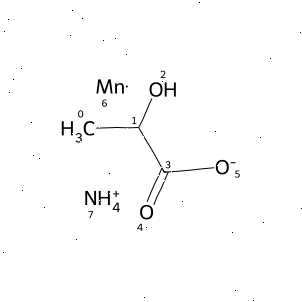 CC(O)C(=O)[O-].[Mn].[NH4+]